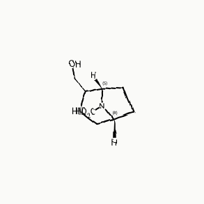 O=C(O)N1[C@@H]2CC[C@H]1C(CO)NC2